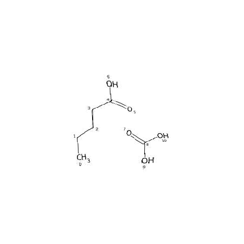 CCCCC(=O)O.O=C(O)O